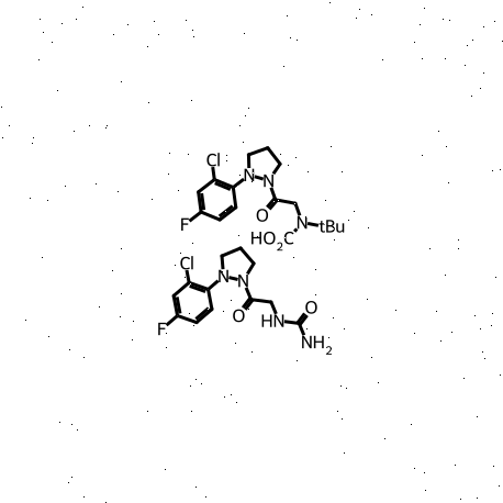 CC(C)(C)N(CC(=O)N1CCCN1c1ccc(F)cc1Cl)C(=O)O.NC(=O)NCC(=O)N1CCCN1c1ccc(F)cc1Cl